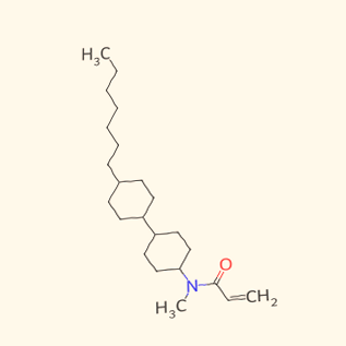 C=CC(=O)N(C)C1CCC(C2CCC(CCCCCCC)CC2)CC1